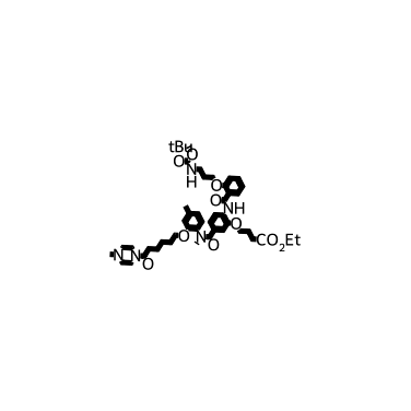 CCOC(=O)CCCOc1cc(C(=O)N(C)c2ccc(C)cc2OCCCCCC(=O)N2CCN(C)CC2)ccc1NC(=O)c1ccccc1OCCCNC(=O)OC(C)(C)C